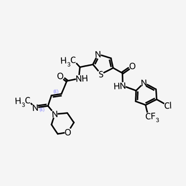 C/N=C(\C=C\C(=O)NC(C)c1ncc(C(=O)Nc2cc(C(F)(F)F)c(Cl)cn2)s1)N1CCOCC1